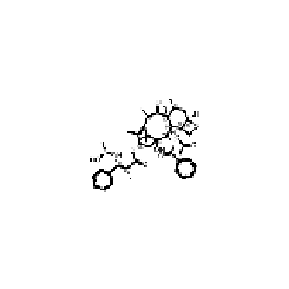 CB(O)N[C@@H](c1ccccc1)[C@@H](C)C(=O)O[C@H]1C[C@@]2(O)[C@@H](OC(=O)c3ccccc3)[C@@H]3[C@]4(OC(C)=O)CO[C@@H]4C[C@H](C)[C@@]3(C)C(=O)[C@H](C)C(=C1C)C2(C)C